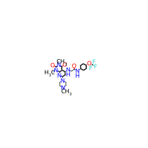 CN1CCN(c2cc(NCC(=O)Nc3ccc(OC(F)(F)F)cc3)c3c(=O)n(C)c(=O)n(C)c3n2)CC1